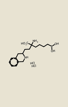 Cl.Cl.NC(CCCCB(O)O)(CCC1Cc2ccccc2CN1)C(=O)O